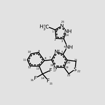 Cc1cc(Nc2nc(-c3ccccc3C(F)(F)F)nc3c2CSC3)[nH]n1